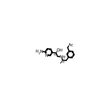 CC(=O)Cc1cccc(C[C@@H](C)NC[C@H](O)c2ccc(N)nc2)c1